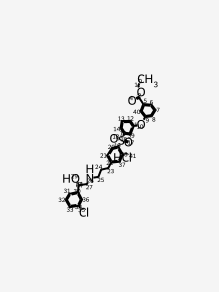 CCOC(=O)c1cccc(Oc2cccc(S(=O)(=O)c3ccc(CCCNC[C@@H](O)c4cccc(Cl)c4)cc3)c2)c1.Cl